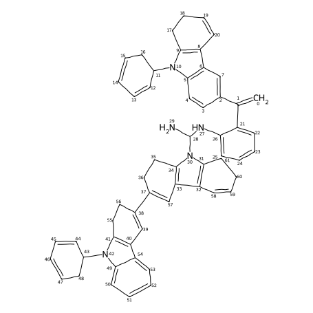 C=C(c1ccc2c(c1)c1c(n2C2C=CC=CC2)CCC=C1)c1ccccc1NC(N)n1c2c(c3c1CCC(C1=Cc4c(n(C5C=CC=CC5)c5ccccc45)CC1)=C3)C=CCC2